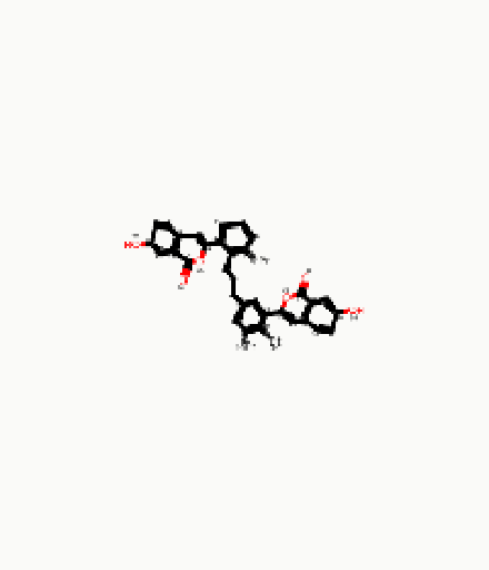 CCCc1cc(CCCc2c(CCC)cccc2-c2cc3ccc(O)cc3c(=O)o2)cc(-c2cc3ccc(O)cc3c(=O)o2)c1CC